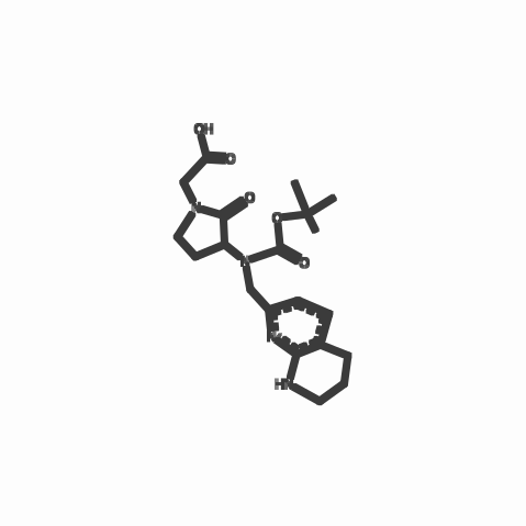 CC(C)(C)OC(=O)N(Cc1ccc2c(n1)NCCC2)C1CCN(CC(=O)O)C1=O